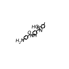 Cc1ccc2nc(-c3ccc(NC(=O)c4ccc(N)cc4)cc3)n(O)c2c1